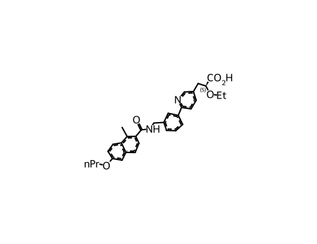 CCCOc1ccc2c(C)c(C(=O)NCc3cccc(-c4ccc(C[C@H](OCC)C(=O)O)cn4)c3)ccc2c1